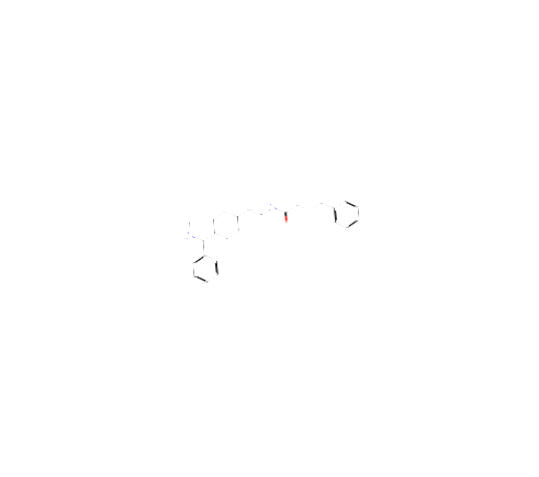 CN(C)C(c1ccccc1)C1CCC(CCNC(=O)COCc2ccccc2)CC1